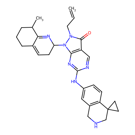 C=CCn1c(=O)c2cnc(Nc3ccc4c(c3)CNCC43CC3)nc2n1C1CC=C2CCCC(C)C2=N1